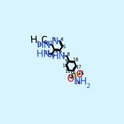 CNc1nccc(NCc2ccc(S(N)(=O)=O)cc2)c1C=N